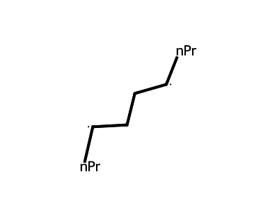 CCC[CH]CC[CH]CCC